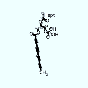 CC#CC#CC#CC#CC(=O)OC[C@@H](COP(=O)(O)O)OC(=O)CCCCCCC